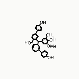 COc1cc(C(c2cc(-c3ccc(O)cc3)ccc2CO)C2C#CC=CC(c3ccc(O)cc3)=C2)cc(C)c1O